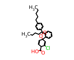 CCCCCc1ccc(C(=O)OC2(c3ccccc3CCCCC)C=CC(C(=O)O)C(Cl)=C2)cc1